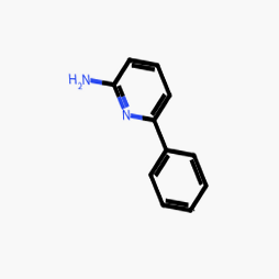 Nc1cccc(-c2cc[c]cc2)n1